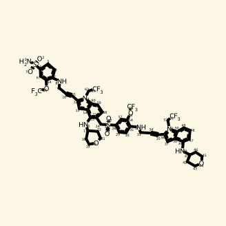 NS(=O)(=O)c1ccc(NCC#Cc2cc3c(NC4CCOCC4)c(CS(=O)(=O)c4ccc(NCC#Cc5cc6c(NC7CCOCC7)cccc6n5CC(F)(F)F)c(OC(F)(F)F)c4)ccc3n2CC(F)(F)F)c(OC(F)(F)F)c1